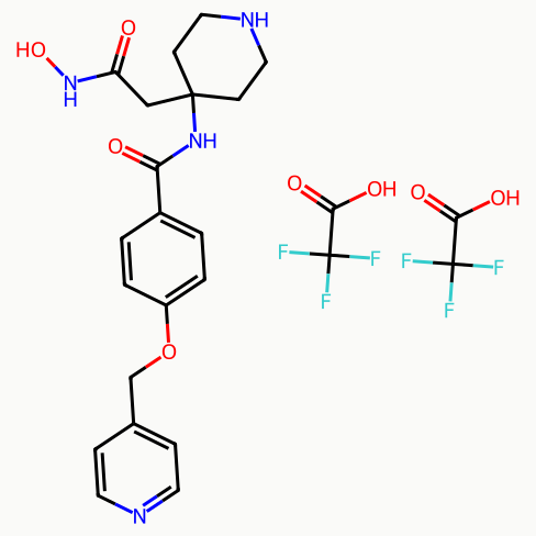 O=C(CC1(NC(=O)c2ccc(OCc3ccncc3)cc2)CCNCC1)NO.O=C(O)C(F)(F)F.O=C(O)C(F)(F)F